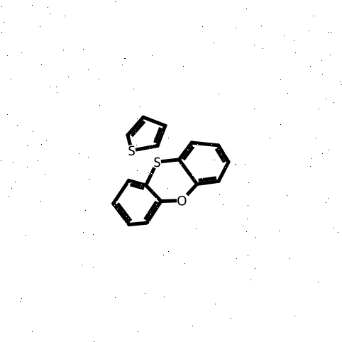 c1ccc2c(c1)Oc1ccccc1S2.c1ccsc1